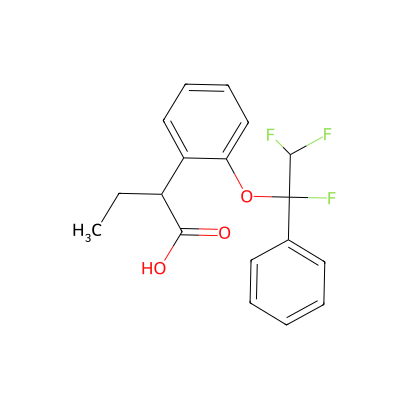 CCC(C(=O)O)c1ccccc1OC(F)(c1ccccc1)C(F)F